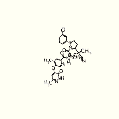 Cc1cc(Oc2cnc(C(=O)N[C@H](C)C(=O)N3C(C(C)(C)C#N)CC[C@H]3c3cccc(Cl)c3)cc2C)c(=O)[nH]n1